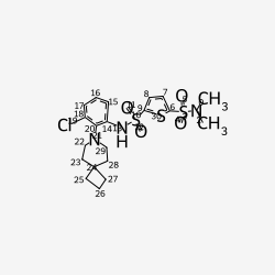 CN(C)S(=O)(=O)c1ccc(S(=O)(=O)Nc2cccc(Cl)c2N2CCC3(CCC3)CC2)s1